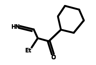 CCC(C=N)C(=O)C1CCCCC1